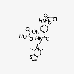 CC1Cc2ccsc2C(C)N1CCNC(=O)c1ccc(NS(=O)(=O)CCl)cc1.O=C(O)C(=O)O